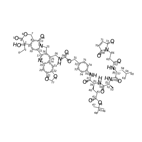 CC[C@@]1(O)C(=O)OCc2c1cc1n(c2=O)Cc2c-1nc1cc3c(cc1c2CNC(=O)OCc1ccc(NC(=O)[C@H](CCC(=O)OC(C)(C)C)NC(=O)[C@H](C)NC(=O)[C@@H](CC(C)C)NC(=O)CCN2C(=O)C=CC2=O)cc1)OCO3